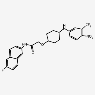 O=C(COC1CCC(Nc2ccc([N+](=O)[O-])c(C(F)(F)F)c2)CC1)Nc1ccc2cc(F)ccc2c1